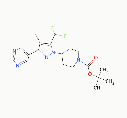 CC(C)(C)OC(=O)N1CCC(n2nc(-c3cncnc3)c(I)c2C(F)F)CC1